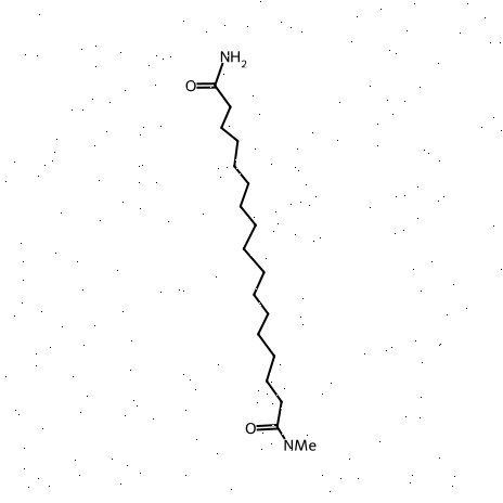 CNC(=O)CCCCCCCCCCCCCCCC(N)=O